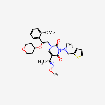 COc1ccccc1/C(=C/n1cc(/C(C)=N/OC(C)C)c(=O)n(N(C)Cc2cccs2)c1=O)OC1CCOCC1